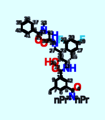 CCCN(CCC)C(=O)c1cc(C)cc(C(=O)N[C@@H](Cc2cc(F)cc(F)c2)[C@H](O)CCNC(=O)CN(C)C(=O)c2ccccc2)c1